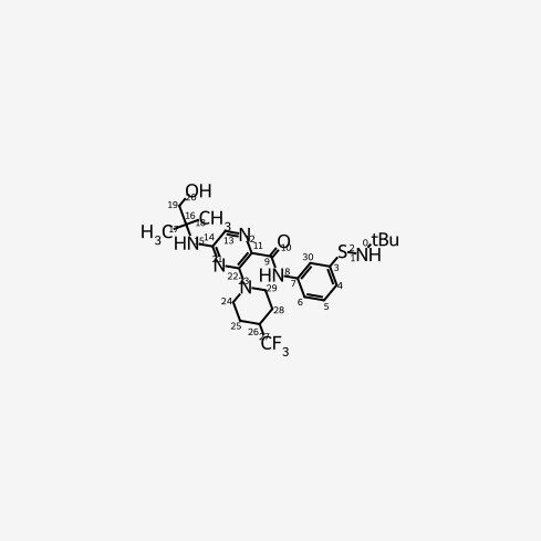 CC(C)(C)NSc1cccc(NC(=O)c2ncc(NC(C)(C)CO)nc2N2CCC(C(F)(F)F)CC2)c1